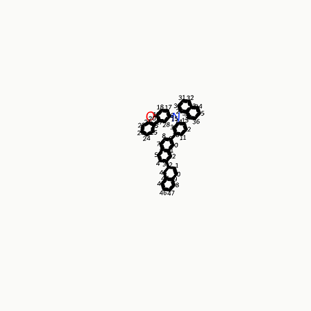 C1=CC(c2ccc3ccc(-c4cccc(N(c5ccc6oc7ccccc7c6c5)c5cccc6ccccc56)c4)cc3c2)Cc2ccccc21